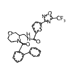 O=C(NCC1COCCN1C(=O)c1ccccc1-c1ccccc1)c1ccc(-c2noc(C(F)(F)F)n2)s1